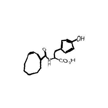 O=C(NC(Cc1ccc(O)cc1)C(=O)O)C1C=CCCCCC1